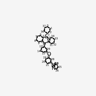 c1ccc(Sc2ccccc2[C@H](c2cccc(Oc3cccc(-n4nccn4)c3)c2)c2ccccn2)cc1